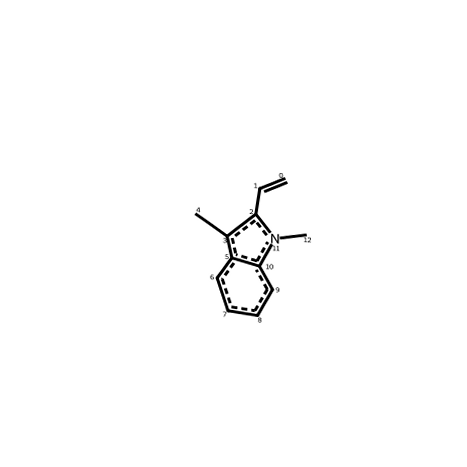 C=Cc1c(C)c2ccccc2n1C